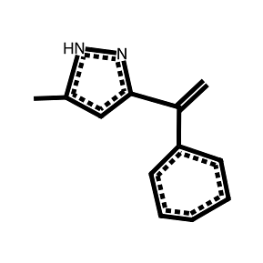 C=C(c1ccccc1)c1cc(C)[nH]n1